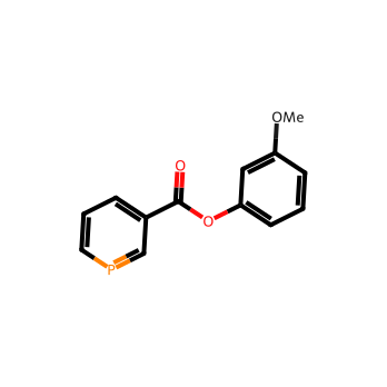 COc1cccc(OC(=O)c2cccpc2)c1